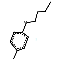 CCC[CH2][Al][c]1ccc(C)cc1.F